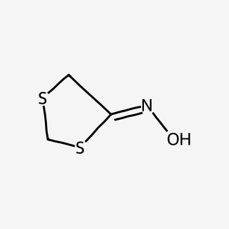 ON=C1CSCS1